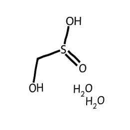 O.O.O=S(O)CO